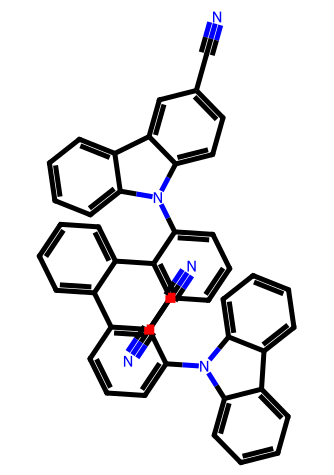 N#Cc1ccc2c(c1)c1ccccc1n2-c1cccc(C#N)c1-c1ccccc1-c1cccc(-n2c3ccccc3c3ccccc32)c1C#N